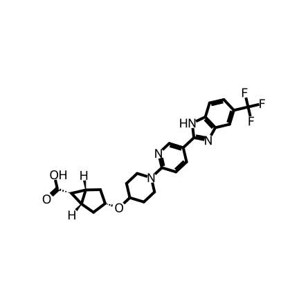 O=C(O)[C@@H]1[C@@H]2C[C@H](OC3CCN(c4ccc(-c5nc6cc(C(F)(F)F)ccc6[nH]5)cn4)CC3)C[C@@H]21